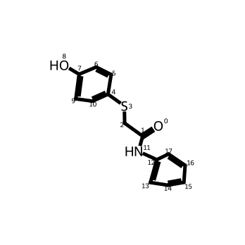 O=C(CSc1ccc(O)cc1)Nc1ccccc1